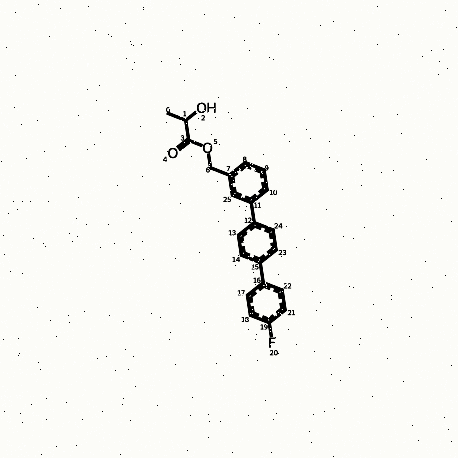 CC(O)C(=O)OCc1cccc(-c2ccc(-c3ccc(F)cc3)cc2)c1